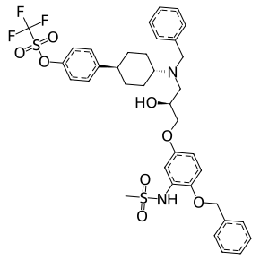 CS(=O)(=O)Nc1cc(OC[C@@H](O)CN(Cc2ccccc2)[C@H]2CC[C@H](c3ccc(OS(=O)(=O)C(F)(F)F)cc3)CC2)ccc1OCc1ccccc1